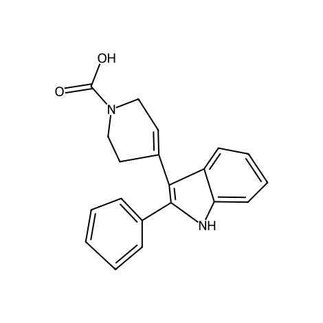 O=C(O)N1CC=C(c2c(-c3ccccc3)[nH]c3ccccc23)CC1